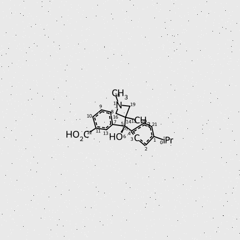 CC(C)c1ccc([C@](O)(c2cccc(C(=O)O)c2)C2(C)CN(C)C2)cc1